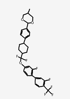 CC1COC(c2ccc(C3CCC(C(F)(F)Oc4ccc(-c5ccc(C(F)(F)F)c(F)c5)c(F)c4)CC3)cc2)OC1